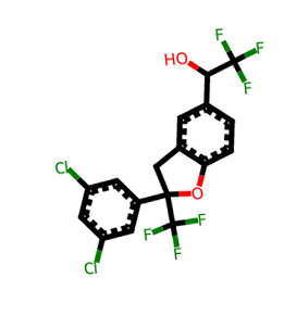 OC(c1ccc2c(c1)CC(c1cc(Cl)cc(Cl)c1)(C(F)(F)F)O2)C(F)(F)F